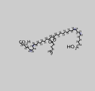 CN(C)CCCC(=O)OC(CCCCCCCC/C=C\C/C=C\CCCCC(=O)O)CCCCCCCC/C=C\C/C=C\CCCCC(=O)O